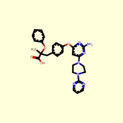 CC(Cc1ccc(Oc2cc(N3CCN(c4ncccn4)CC3)nc(N)n2)cc1)(Oc1ccccc1)C(=O)O